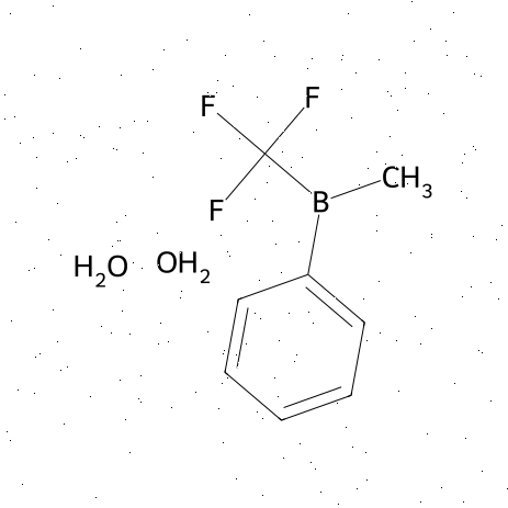 CB(c1ccccc1)C(F)(F)F.O.O